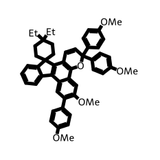 CCC1(CC)CCC2(CC1)c1ccccc1-c1c2c2c(c3cc(OC)c(-c4ccc(OC)cc4)cc13)OC(c1ccc(OC)cc1)(c1ccc(OC)cc1)C=C2